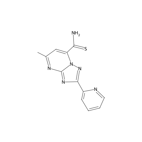 Cc1cc(C(N)=S)n2nc(-c3ccccn3)nc2n1